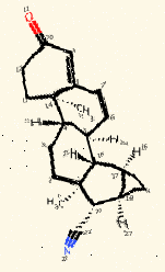 C[C@]12CC[C@H]3[C@@H](CCC4=CC(=O)CC[C@@]43C)[C@@H]1[C@H]1C[C@H]1[C@@H]2C#N